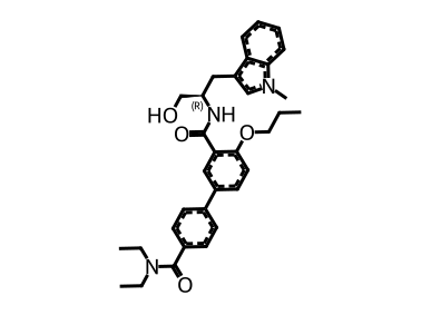 CCCOc1ccc(-c2ccc(C(=O)N(CC)CC)cc2)cc1C(=O)N[C@@H](CO)Cc1cn(C)c2ccccc12